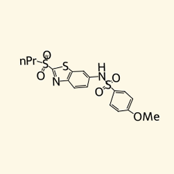 CCCS(=O)(=O)c1nc2ccc(NS(=O)(=O)c3ccc(OC)cc3)cc2s1